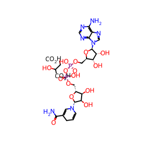 NC(=O)C1=CN([C@@H]2O[C@H](COP(=O)(O)OP(=O)(O)OC[C@H]3O[C@@H](n4cnc5c(N)ncnc54)[C@H](O)[C@@H]3O)[C@@H](O)[C@H]2O)C=CC1.O=C(O)CC(O)C(=O)O